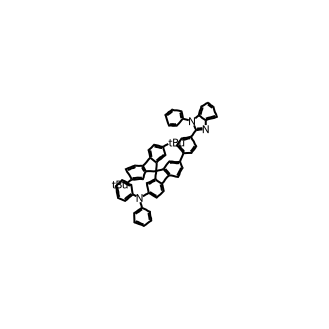 CC(C)(C)c1ccc2c(c1)C1(c3cc(-c4ccc(-c5nc6ccccc6n5-c5ccccc5)cc4)ccc3-c3ccc(N(c4ccccc4)c4ccccc4)cc31)c1cc(C(C)(C)C)ccc1-2